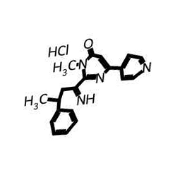 CC(CC(=N)c1nc(-c2ccncc2)cc(=O)n1C)c1ccccc1.Cl